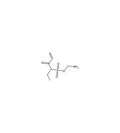 C=CC(=O)C(CC)S(=O)(=O)OCN